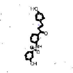 O=C(/C=C/c1ccc(O)cc1)c1cccc(NS(=O)(=O)c2cccc(O)c2)c1